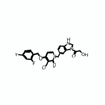 O=C(CO)N1CNc2ccc(Cn3ccc(OCc4ccc(F)cc4F)c(Cl)c3=O)cc21